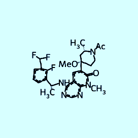 CO[C@@]1(c2cc3c(N[C@H](C)c4cccc(C(F)F)c4F)ncnc3n(C)c2=O)CCN(C(C)=O)[C@@H](C)C1